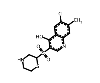 Cc1cc2ncc(S(=O)(=O)C3CNCCS3)c(O)c2cc1Cl